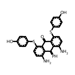 Nc1ccc(Sc2ccc(O)cc2)c2c1C(=P)c1c(N)ccc(Sc3ccc(O)cc3)c1C2=O